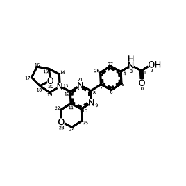 O=C(O)Nc1ccc(-c2nc3c(c(N4CC5CCC(C4)O5)n2)COCC3)cc1